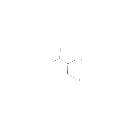 [CH2]C(O)C(N)CC(C)C